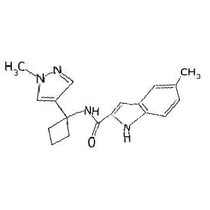 Cc1ccc2[nH]c(C(=O)NC3(c4cnn(C)c4)CCC3)cc2c1